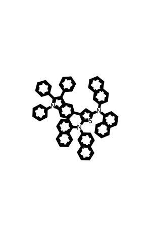 c1ccc(-c2c(-c3ccccc3)n(-c3ccccc3)c3ccc(-c4cc(N(c5ccc6ccccc6c5)c5cccc6ccccc56)sc4N(c4ccc5ccccc5c4)c4cccc5ccccc45)cc23)cc1